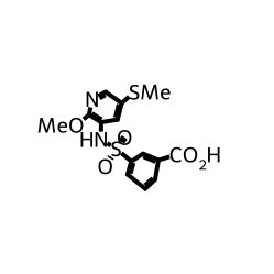 COc1ncc(SC)cc1NS(=O)(=O)c1cccc(C(=O)O)c1